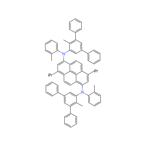 Cc1ccccc1N(c1cc(-c2ccccc2)cc(-c2ccccc2)c1C)c1cc(C(C)C)c2ccc3c(N(c4ccccc4C)c4cc(-c5ccccc5)cc(-c5ccccc5)c4C)cc(C(C)C)c4ccc1c2c43